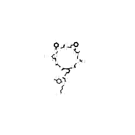 Cc1sc2nc1C(=O)N[C@@H]([C@H](O)c1ccccc1)c1nc(cs1)C(=O)N[C@@H](Cc1ccc(O)cc1)C(=O)N1C[C@H](O)[C@H](C)[C@H]1c1nc(cs1)-c1nc(cs1)-c1nc(-c3nc(C(=O)N(CCCCC(=O)O)C4CCC(C(=O)O)CC4)cs3)ccc1-c1nc(cs1)C(=O)N[C@H]2CC(N)=O